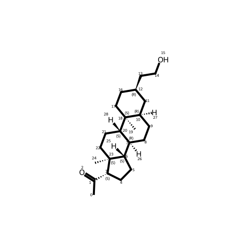 CC(=O)[C@H]1CC[C@H]2[C@@H]3CC[C@@H]4C[C@H](CCO)CC[C@]4(C)[C@H]3CC[C@]12C